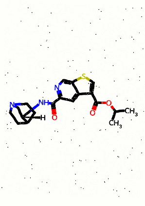 CC(C)OC(=O)c1csc2cnc(C(=O)N[C@H]3CN4CCC3CC4)cc12